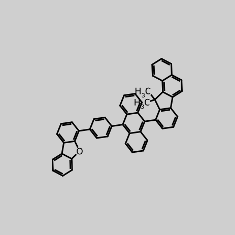 CC1(C)c2c(cccc2-c2c3ccccc3c(-c3ccc(-c4cccc5c4oc4ccccc45)cc3)c3ccccc23)-c2ccc3ccccc3c21